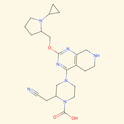 N#CCC1CN(c2nc(OCC3CCCN3C3CC3)nc3c2CCNC3)CCN1C(=O)O